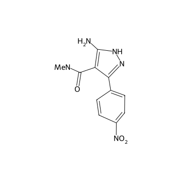 CNC(=O)c1c(-c2ccc([N+](=O)[O-])cc2)n[nH]c1N